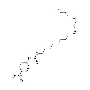 CCCCC/C=C\C/C=C\CCCCCCCCOC(=O)Oc1ccc([N+](=O)[O-])cc1